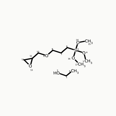 CCO.CO[Si](CCCOCC1CO1)(OC)OC